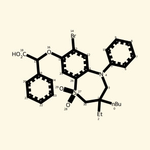 CCCCC1(CC)CN(c2ccccc2)c2cc(Br)c(OC(C(=O)O)c3ccccc3)cc2S(=O)(=O)C1